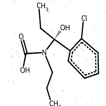 CCCN(C(=O)O)[C@@](O)(CC)c1ccccc1Cl